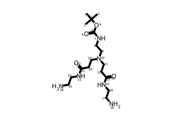 CC(C)(C)OC(=O)NCCN(CCC(=O)NCCN)CCC(=O)NCCN